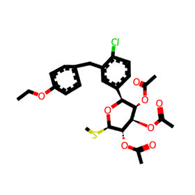 CCOc1ccc(Cc2cc([C@@H]3O[C@H](SC)[C@@H](OC(C)=O)[C@H](OC(C)=O)[C@H]3OC(C)=O)ccc2Cl)cc1